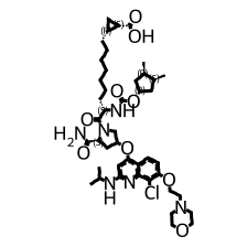 CC(C)Nc1cc(OC2C[C@@H](C(N)=O)N(C(=O)[C@H](CCCCCCC[C@@H]3C[C@@H]3C(=O)O)NC(=O)O[C@H]3C[C@@H](C)[C@@H](C)C3)C2)c2ccc(OCCN3CCOCC3)c(Cl)c2n1